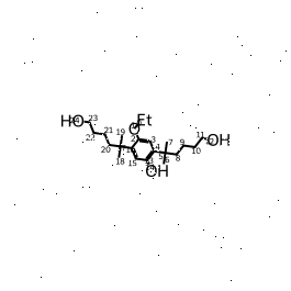 CCOc1cc(C(C)(C)CCCCO)c(O)cc1C(C)(C)CCCCO